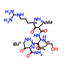 CC[C@H](C)C(N)C(=O)C(NC(=O)C(NC(=O)C(NC)C(=O)[C@@H](N)CCCNC(N)N)N[C@H](C=O)CO)C(N)=O